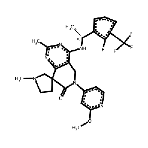 COc1cc(N2Cc3c(N[C@H](C)c4cccc(C(F)(F)F)c4F)nc(C)nc3C3(CCN(C)C3)C2=O)ccn1